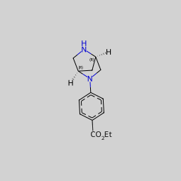 CCOC(=O)c1ccc(N2C[C@H]3C[C@@H]2CN3)cc1